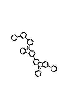 C1=CCC(c2ccc3c4cc(-c5ccc6c(c5)c5ccccc5n6-c5cccc(-c6cccc(-c7ccccc7)c6)c5)ccc4n(-c4ccccc4)c3c2)C=C1